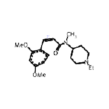 CCN1CCC(N(C)C(=O)/C=C\c2ccc(OC)cc2OC)CC1